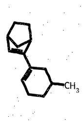 CC1CCC=C(C2=CC3CCC2C3)C1